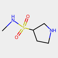 CNS(=O)(=O)C1CCNC1